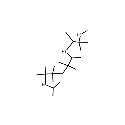 CC(C)BC(C)(C)C(C)(C)CC(C)(C)C(C)BC(C)C(C)(C)BF